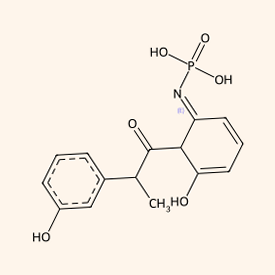 CC(C(=O)C1C(O)=CC=C/C1=N\P(=O)(O)O)c1cccc(O)c1